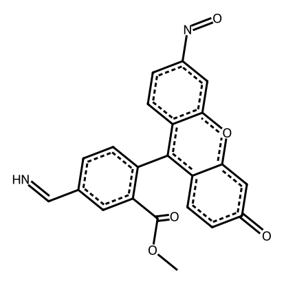 COC(=O)c1cc(C=N)ccc1-c1c2ccc(=O)cc-2oc2cc(N=O)ccc12